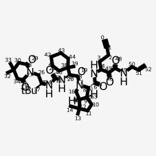 C#CCCC(NC(=O)[C@@H]1[C@H]2CCC(C)(C)[C@H]2CN1C(=O)[C@@H](NC(=O)N[C@H](CN1C(=O)CC(C)(C)CC1=O)C(C)(C)C)C1(C)CCCCC1)C(=O)C(=O)NCC=C